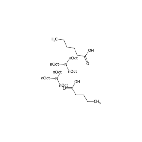 CCCCC(=O)O.CCCCCC(=O)O.CCCCCCCCN(CCCCCCCC)CCCCCCCC.CCCCCCCCN(CCCCCCCC)CCCCCCCC